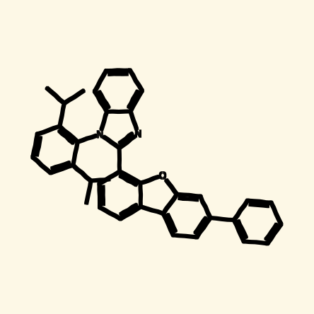 CC(C)c1cccc(C(C)C)c1-n1c(-c2cccc3c2oc2cc(-c4ccccc4)ccc23)nc2ccccc21